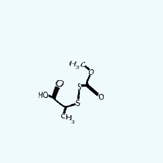 COC(=O)SSC(C)C(=O)O